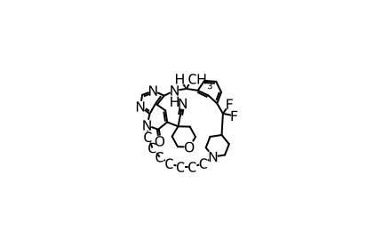 C[C@H]1Nc2ncnc3c2cc(C2(C#N)CCOCC2)c(=O)n3CCCCCCCN2CCC(CC2)C(F)(F)c2cccc1c2